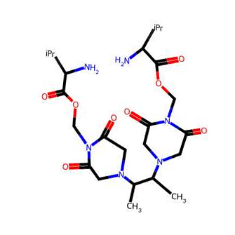 CC(C)C(N)C(=O)OCN1C(=O)CN(C(C)C(C)N2CC(=O)N(COC(=O)C(N)C(C)C)C(=O)C2)CC1=O